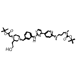 CN(CCCN(C)c1ccc(-c2ccnc(Nc3cccc(CN4CCN(CC(=O)OC(C)(C)C)C(CCO)C4)c3)n2)cn1)C(=O)OC(C)(C)C